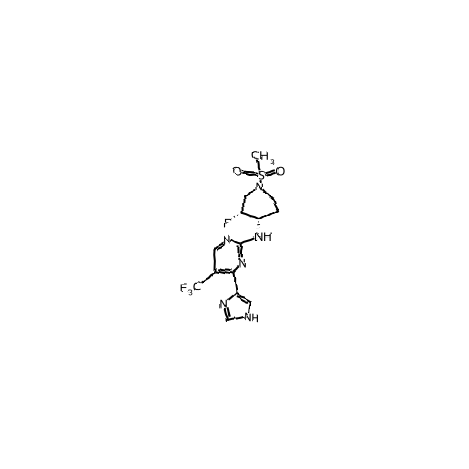 CS(=O)(=O)N1CC[C@H](Nc2ncc(C(F)(F)F)c(-c3c[nH]cn3)n2)[C@H](F)C1